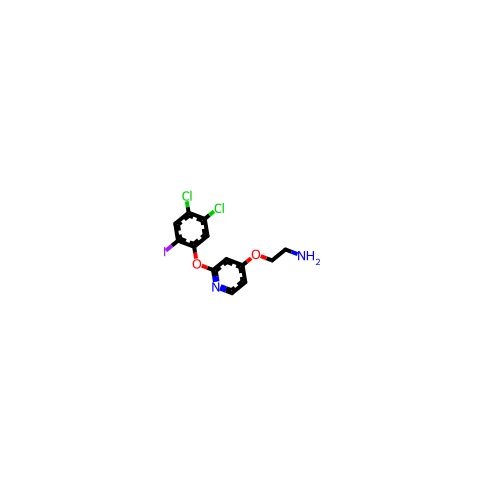 NCCOc1ccnc(Oc2cc(Cl)c(Cl)cc2I)c1